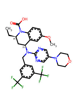 CC[C@@H]1C[C@H](N(Cc2cc(C(F)(F)F)cc(C(F)(F)F)c2)c2ncc(N3CCOCC3)cn2)c2cc(OC)ccc2N1C(=O)O